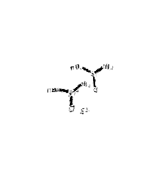 CCC[CH2][Sn+]([Cl])[CH2]CCC.CCC[CH2][Sn+]([Cl])[CH2]CCC.[S-2]